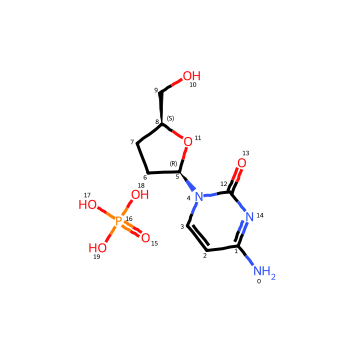 Nc1ccn([C@H]2CC[C@@H](CO)O2)c(=O)n1.O=P(O)(O)O